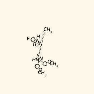 CCCCCCCN(CCCCCSc1nc(-c2cccc(OC)c2)c(-c2cccc(OC)c2)[nH]1)C(=O)Nc1ccc(F)cc1F